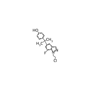 CC(C)(c1ccc(O)cc1)c1cc(F)c2c(cnn2CCCl)c1